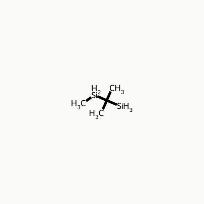 C[SiH2]C(C)(C)[SiH3]